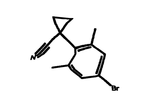 Cc1cc(Br)cc(C)c1C1(C#N)CC1